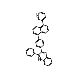 c1ccc(-c2nc3ccccc3nc2-c2ccc(-c3cccc4c(-c5cccnc5)cccc34)cc2)cc1